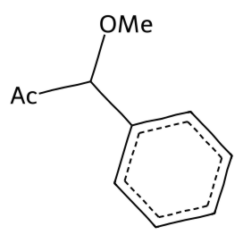 COC(C(C)=O)c1ccccc1